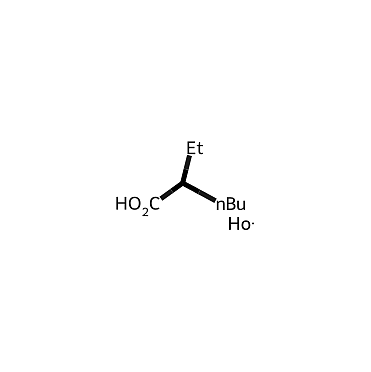 CCCCC(CC)C(=O)O.[Ho]